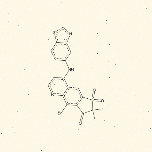 CC1(C)C(=O)c2c(cc3c(Nc4ccc5scnc5c4)ccnc3c2Br)S1(=O)=O